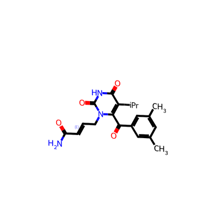 Cc1cc(C)cc(C(=O)c2c(C(C)C)c(=O)[nH]c(=O)n2C/C=C/C(N)=O)c1